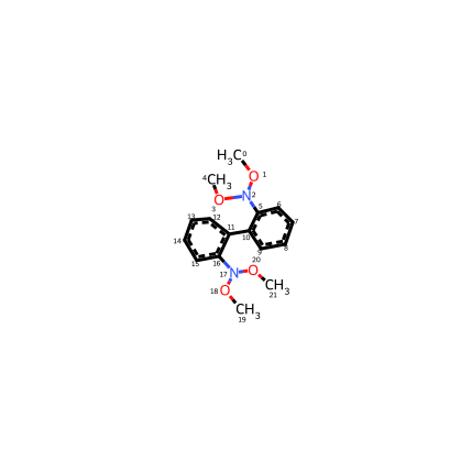 CON(OC)c1ccccc1-c1ccccc1N(OC)OC